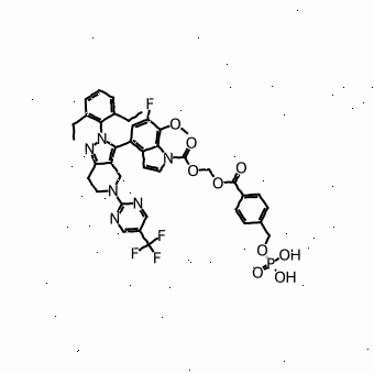 CCc1cccc(CC)c1-n1nc2c(c1-c1cc(F)c(OC)c3c1ccn3C(=O)OCOC(=O)c1ccc(COP(=O)(O)O)cc1)CN(c1ncc(C(F)(F)F)cn1)CC2